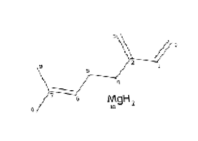 C=CC(=C)CCC=C(C)C.[MgH2]